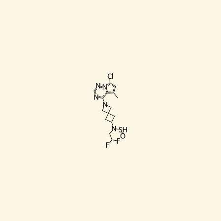 Cc1cc(Cl)n2ncnc(N3CC4(CC(N(CC(F)F)[SH]=O)C4)C3)c12